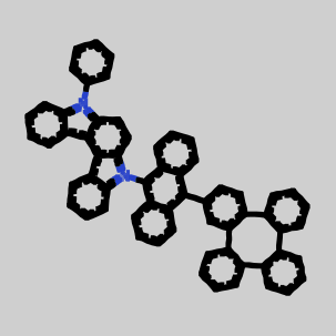 c1ccc(-n2c3ccccc3c3c4c5ccccc5n(-c5c6ccccc6c(-c6ccc7c(c6)-c6ccccc6-c6ccccc6-c6ccccc6-7)c6ccccc56)c4ccc32)cc1